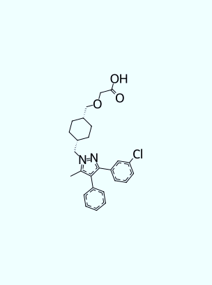 Cc1c(-c2ccccc2)c(-c2cccc(Cl)c2)nn1C[C@H]1CC[C@@H](COCC(=O)O)CC1